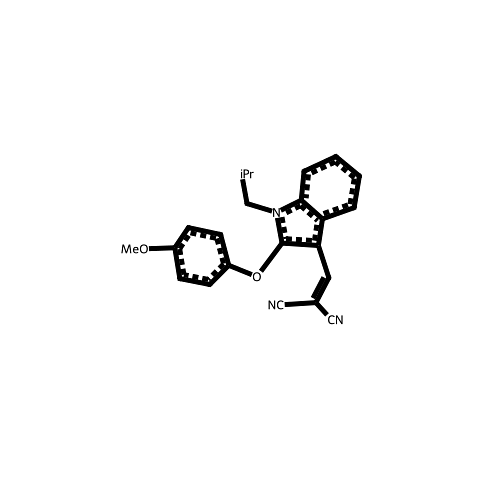 COc1ccc(Oc2c(C=C(C#N)C#N)c3ccccc3n2CC(C)C)cc1